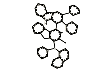 Cc1c(C)c(N(c2ccccc2)c2cccc3ccccc23)c2c(c1-c1c(-c3ccccc3)c(-c3ccccc3)cc3c1[nH]c1ccccc13)-c1ccccc1C2